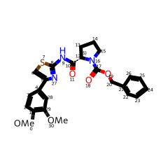 COc1ccc(-c2csc(NC(=O)[C@@H]3CCCN3C(=O)OCc3ccccc3)n2)cc1OC